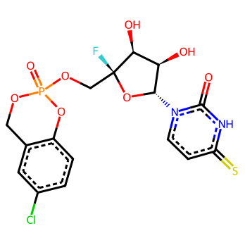 O=c1[nH]c(=S)ccn1[C@@H]1O[C@](F)(COP2(=O)OCc3cc(Cl)ccc3O2)[C@@H](O)[C@H]1O